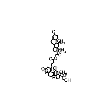 C[C@]12CCC(=O)C=C1CCC1C2[C@@H](O)C[C@@]2(C)C1CC[C@]2(O)C(=O)COC(=O)CCCC1CC(=O)C=C2CC[C@@H]3[C@H]([C@@H](O)C[C@@]4(C)[C@H]3CC[C@]4(O)C(=O)CO)[C@]21C